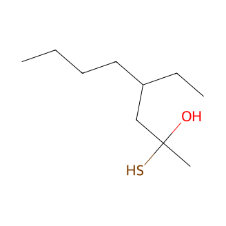 CCCCC(CC)CC(C)(O)S